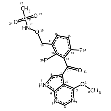 COc1ncnc2[nH]cc(C(=O)c3c(F)ccc(CONS(C)(=O)=O)c3F)c12